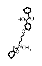 CN(CCCCOc1cccc(C(O)C(=O)c2ccccc2)c1)c1nc2ccccc2o1